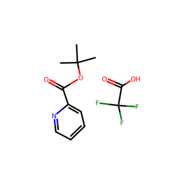 CC(C)(C)OC(=O)c1ccccn1.O=C(O)C(F)(F)F